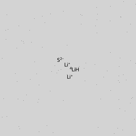 [4LiH].[Li+].[Li+].[S-2]